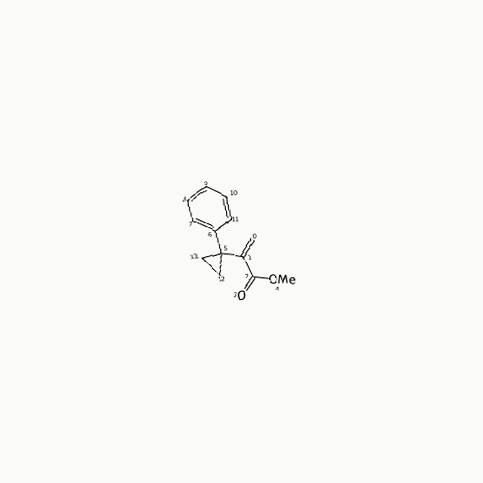 C=C(C(=O)OC)C1(c2ccccc2)CC1